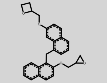 c1cc(Cc2c(OCC3CO3)ccc3ccccc23)c2cc(OCC3CCO3)ccc2c1